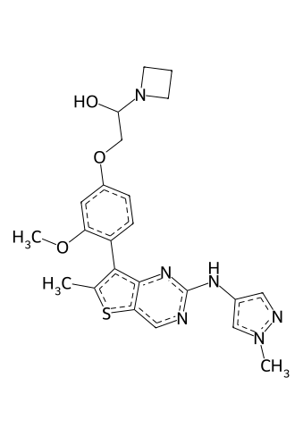 COc1cc(OCC(O)N2CCC2)ccc1-c1c(C)sc2cnc(Nc3cnn(C)c3)nc12